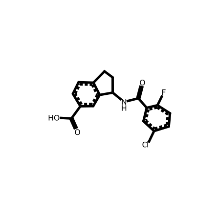 O=C(O)c1ccc2c(c1)C(NC(=O)c1cc(Cl)ccc1F)CC2